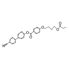 CCC(=O)OCCCCOc1ccc(C(=O)Oc2ccc(-c3ccc(C#N)cc3)cc2)cc1